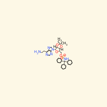 CC1(C)O[C@@H]2[C@H](O1)[C@@H](COS(=O)(=O)NC(c1ccccc1)(c1ccccc1)c1ccccc1)O[C@H]2n1cnc2c(CCN)ncnc21